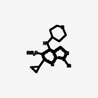 CCOC(=O)c1c(C2CC2)nc2c(cnn2CC)c1NC1CCOCC1